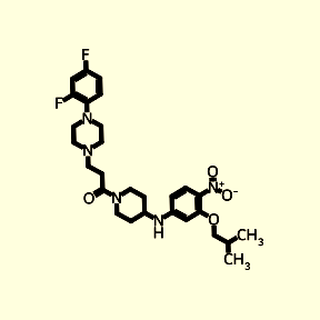 CC(C)COc1cc(NC2CCN(C(=O)CCN3CCN(c4ccc(F)cc4F)CC3)CC2)ccc1[N+](=O)[O-]